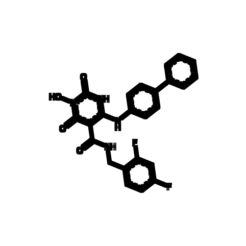 O=C(NCc1ccc(F)cc1F)c1c(Nc2ccc(-c3ccccc3)cc2)[nH]c(=O)n(O)c1=O